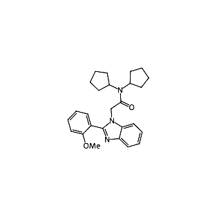 COc1ccccc1-c1nc2ccccc2n1CC(=O)N(C1CCCC1)C1CCCC1